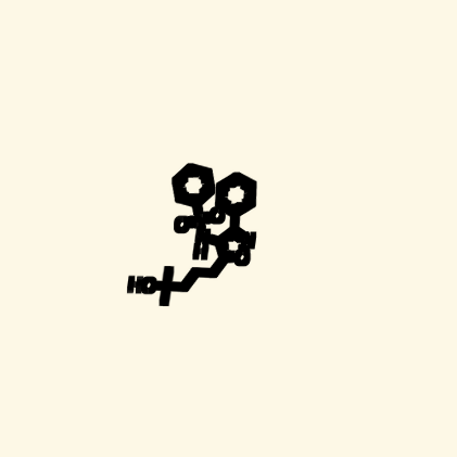 CC(C)(O)CCCc1onc(-c2ccccc2)c1NS(=O)(=O)c1ccccc1